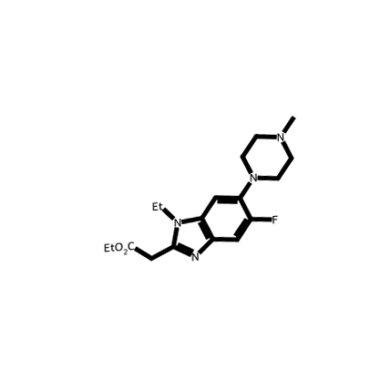 CCOC(=O)Cc1nc2cc(F)c(N3CCN(C)CC3)cc2n1CC